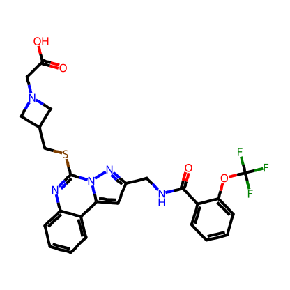 O=C(O)CN1CC(CSc2nc3ccccc3c3cc(CNC(=O)c4ccccc4OC(F)(F)F)nn23)C1